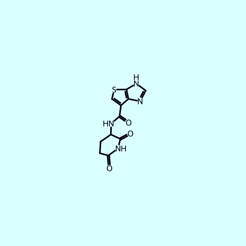 O=C1CCC(NC(=O)c2csc3[nH]cnc23)C(=O)N1